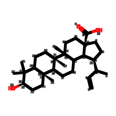 C=CC(C)[C@@H]1CC[C@]2(C(=O)O)CC[C@]3(C)C(CCC4[C@@]5(C)CC[C@H](O)C(C)(C)C5CC[C@]43C)C12